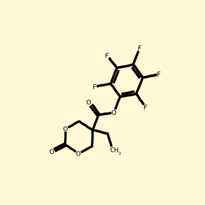 CCC1(C(=O)Oc2c(F)c(F)c(F)c(F)c2F)COC(=O)OC1